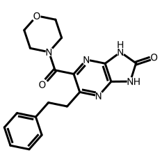 O=C(c1nc2[nH]c(=O)[nH]c2nc1CCc1ccccc1)N1CCOCC1